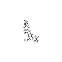 COc1cc2c(cc1N1CCC(F)C(F)C1F)CC(c1ccc(OC(F)(F)F)cc1F)C2=O